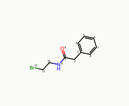 O=C(Cc1ccccc1)N[CH]CBr